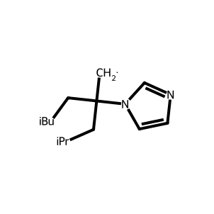 [CH2]C(CC(C)C)(CC(C)CC)n1ccnc1